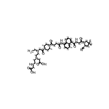 CCN(CCN(CCNCC(=O)O)CC(=O)O)CC(=O)N1CCN(C(=O)CCC(=O)Nc2cccc3c(C(=O)NCC(=O)N4CC(F)(F)C[C@H]4C#N)ccnc23)CC1